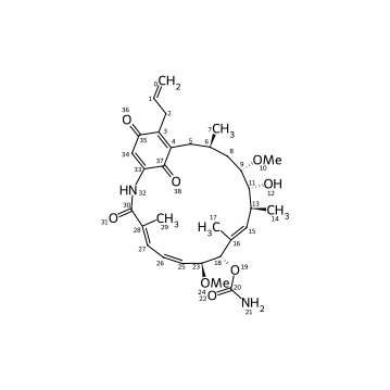 C=CCC1=C2C[C@@H](C)C[C@H](OC)[C@H](O)[C@@H](C)/C=C(\C)[C@H](OC(N)=O)[C@@H](OC)/C=C\C=C(/C)C(=O)NC(=CC1=O)C2=O